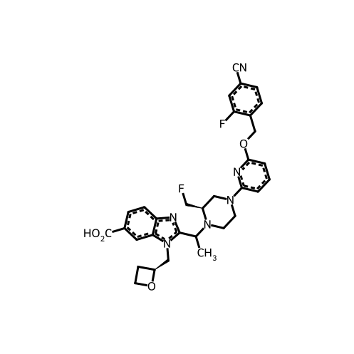 CC(c1nc2ccc(C(=O)O)cc2n1C[C@@H]1CCO1)N1CCN(c2cccc(OCc3ccc(C#N)cc3F)n2)C[C@@H]1CF